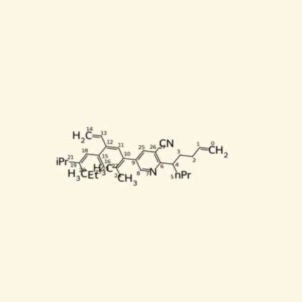 C=CCCC(CCC)c1ncc(C(\C=C(C=C)/C(=C/CC)/C=C(\C)C(C)C)=C(C)C)cc1C#N